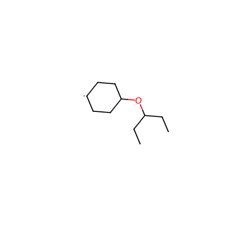 CCC(CC)OC1CC[CH]CC1